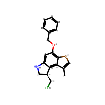 Cc1csc2c(OCc3ccccc3)cc3c(c12)[C@@H](CCl)CN3